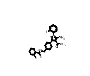 Cc1ccccc1C(=O)NCc1ccc(-c2nn(-c3ccccc3F)c(N)c2C(N)=O)cc1